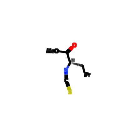 COC(=O)[C@H](CC(C)C)N=C=S